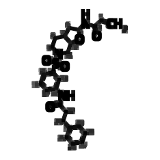 C=CC(=O)NC1CC2CCN(S(=O)(=O)c3cccc(NC(=O)CCc4ccccc4)c3)CC2O1